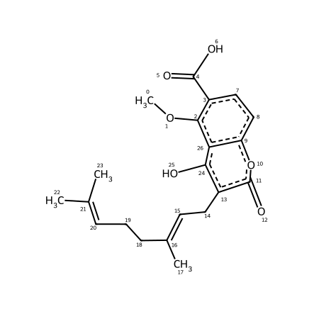 COc1c(C(=O)O)ccc2oc(=O)c(C/C=C(\C)CCC=C(C)C)c(O)c12